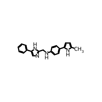 Cc1ccc(-c2ccc(NCc3ncc(-c4ccccc4)[nH]3)cc2)[nH]1